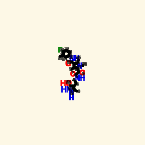 CC1=C(CCNC(=O)C(=O)c2c(C)c(C(=O)Nc3ccc(F)c(C)c3)c(C)n2C)C(O)NN1